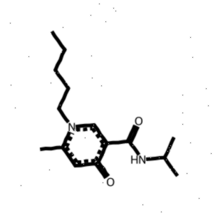 CCCCCn1cc(C(=O)NC(C)C)c(=O)cc1C